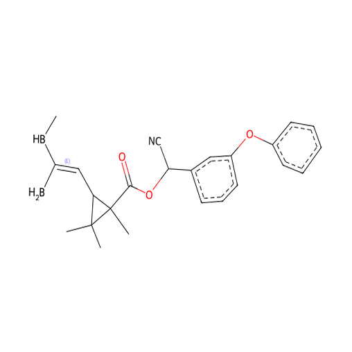 B/C(BC)=C\C1C(C)(C)C1(C)C(=O)OC(C#N)c1cccc(Oc2ccccc2)c1